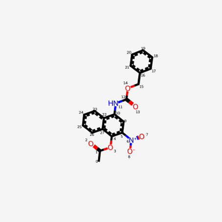 CC(=O)Oc1c([N+](=O)[O-])cc(NC(=O)OCc2ccccc2)c2ccccc12